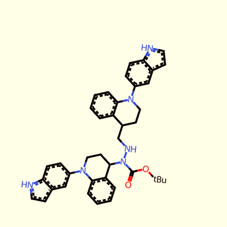 CC(C)(C)OC(=O)N(NCC1CCN(c2ccc3[nH]ccc3c2)c2ccccc21)C1CCN(c2ccc3[nH]ccc3c2)c2ccccc21